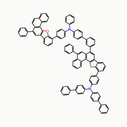 c1ccc(-c2ccc(N(c3ccc(-c4ccccc4)cc3)c3ccc(-c4cccc5c4sc4c5cc(-c5cccc(-c6ccc(N(c7ccccc7)c7ccc(-c8cccc9c8oc8c9cc(-c9ccccc9)c9ccc%10ccccc%10c98)cc7)cc6)c5)c5cc(-c6ccccc6)c6ccccc6c54)cc3)cc2)cc1